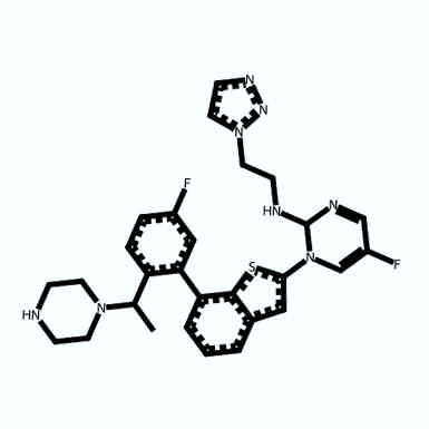 CC(c1ccc(F)cc1-c1cccc2cc(N3C=C(F)C=NC3NCCn3ccnn3)sc12)N1CCNCC1